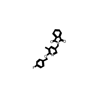 Cc1cc(CN2C(=O)c3ccccc3C2=O)cnc1OCc1ccc(F)cc1